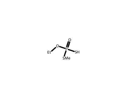 CCOP(=O)(S)SC